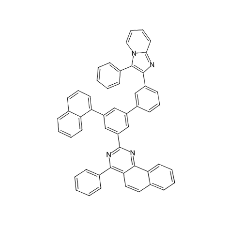 c1ccc(-c2nc(-c3cc(-c4cccc(-c5nc6ccccn6c5-c5ccccc5)c4)cc(-c4cccc5ccccc45)c3)nc3c2ccc2ccccc23)cc1